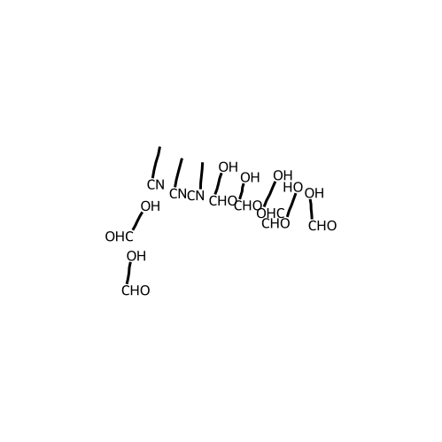 CC#N.CC#N.CC#N.O=CO.O=CO.O=CO.O=CO.O=CO.O=CO.O=CO